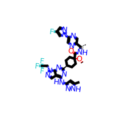 CO[C@]1(C(=O)N[C@@H](C)c2cnc(-n3cc(F)cn3)cn2)CC[C@H](c2nc(Nc3cc(C)[nH]n3)c3cnn(CC(F)(F)F)c3n2)CC1